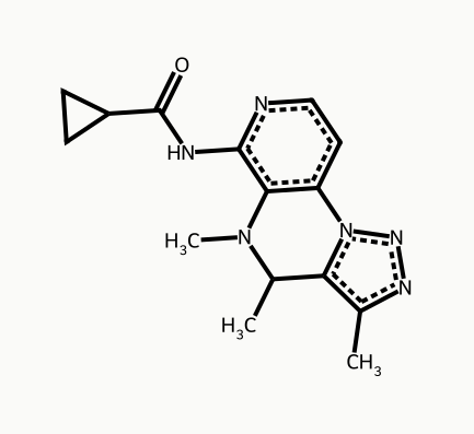 Cc1nnn2c1C(C)N(C)c1c-2ccnc1NC(=O)C1CC1